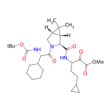 COC(=O)C(=O)C(CCC1CC1)NC(=O)[C@@H]1[C@@H]2[C@H](CN1C(=O)[C@@H](NC(=O)OC(C)(C)C)C1CCCCC1)C2(C)C